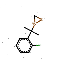 CC(C)(c1ccccc1F)[SH]1CS1